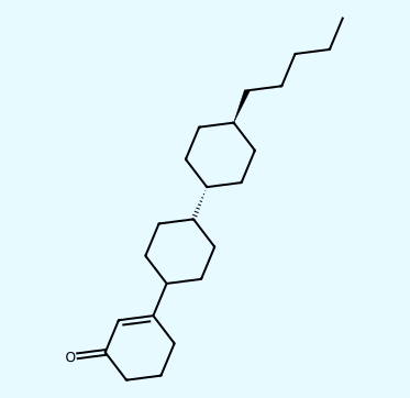 CCCCC[C@H]1CC[C@H](C2CCC(C3=CC(=O)CCC3)CC2)CC1